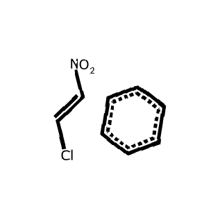 O=[N+]([O-])C=CCl.c1ccccc1